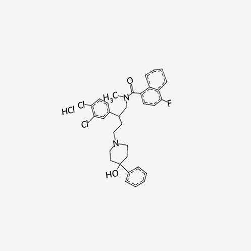 CN(CC(CCN1CCC(O)(c2ccccc2)CC1)c1ccc(Cl)c(Cl)c1)C(=O)c1ccc(F)c2ccccc12.Cl